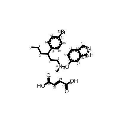 CCCC(CCN(C)Oc1ccc2cn[nH]c2c1)c1ccc(Br)cc1.O=C(O)C=CC(=O)O